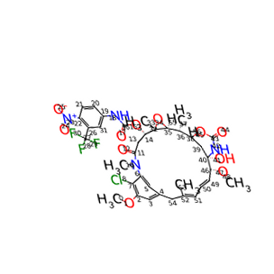 COc1cc2cc(c1Cl)N(C)C(=O)C[C@H](OC(=O)Nc1ccc([N+](=O)[O-])c(C(F)(F)F)c1)[C@]1(C)O[C@H]1[C@H](C)[C@@H]1C[C@@](O)(NC(=O)O1)[C@H](OC)/C=C/C=C(\C)C2